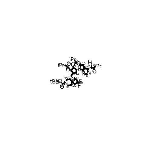 CC(C)C(=O)Nc1ncnc2c1ccn2[C@@H]1CC(CN2CC(F)(F)CC23CCN(C(=O)OC(C)(C)C)CC3)[C@@H](OC(=O)C(C)C)[C@H]1OC(=O)C(C)C